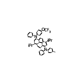 Cc1ccc(N(c2ccccc2)c2cc(C(C)C)c3ccc4c(N(c5ccccc5)c5ccc(OC(F)(F)F)cc5)cc(C(C)C)c5ccc2c3c54)cc1